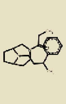 CCC(=O)N1CCC2CCC(C1)N2CCC(C)c1ccccc1